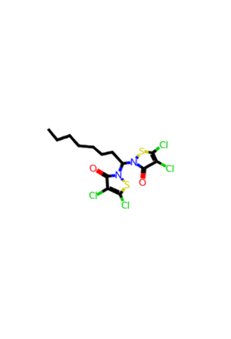 CCCCCCCC(n1sc(Cl)c(Cl)c1=O)n1sc(Cl)c(Cl)c1=O